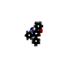 Cn1c2ccccc2c2c(-c3ccccc3)cc3oc4ccccc4c3c21